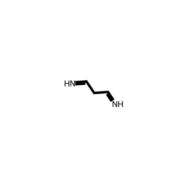 N=CCC=N